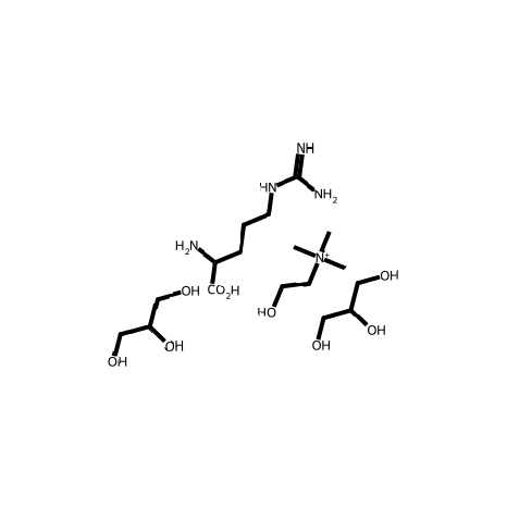 C[N+](C)(C)CCO.N=C(N)NCCCC(N)C(=O)O.OCC(O)CO.OCC(O)CO